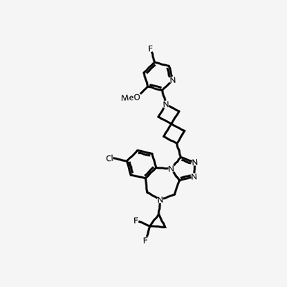 COc1cc(F)cnc1N1CC2(CC(c3nnc4n3-c3ccc(Cl)cc3CN(C3CC3(F)F)C4)C2)C1